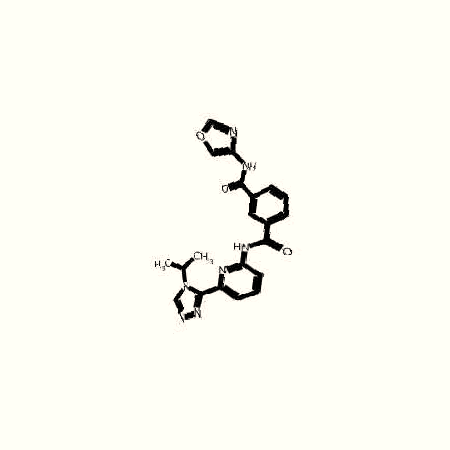 CC(C)n1cnnc1-c1cccc(NC(=O)c2cccc(C(=O)Nc3cocn3)c2)n1